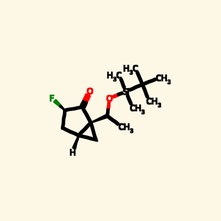 CC(O[Si](C)(C)C(C)(C)C)[C@@]12C[C@@H]1C[C@@H](F)C2=O